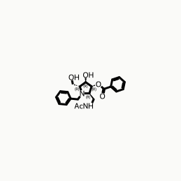 CC(=O)NC[C@@H]1[C@@H](OC(=O)c2ccccc2)[C@H](O)[C@@H](CO)N1Cc1ccccc1